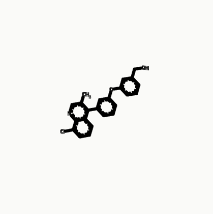 Cc1cnc2c(Cl)cccc2c1-c1cccc(Oc2cccc(CO)c2)c1